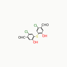 O=Cc1cc(O)c(Sc2cc(Cl)c(C=O)cc2O)cc1Cl